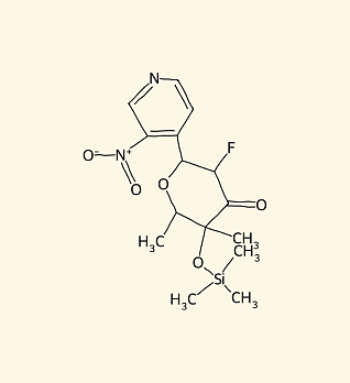 CC1OC(c2ccncc2[N+](=O)[O-])C(F)C(=O)C1(C)O[Si](C)(C)C